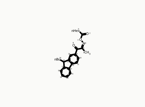 CCCCCCC(=O)O/N=C(/C)C(=O)c1ccc2c(c1)C(CCCC)c1ccccc1-2